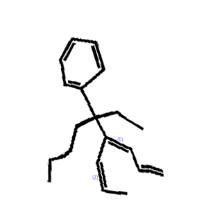 C=C/C=C(\C=C/C)C(CC)(CCCC)c1ccccc1